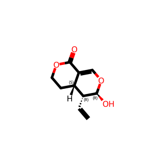 C=C[C@H]1[C@H](O)OC=C2C(=O)OCC[C@H]21